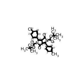 Cc1ccc(C2=C3C(=O)N(C(=O)OC(C)(C)C)C(c4ccc(Cl)cc4)=C3C(=O)N2C(=O)OC(C)(C)C)cc1